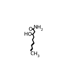 CC=CC=CCCC(O)CC(N)=O